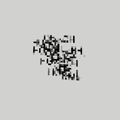 CN[C@@H]1[C@@H](O)[C@@H](O[C@H]2[C@H](NC(=O)C(O)C(F)(F)CN)C[C@H](N)C(O[C@H]3O[C@H](CNCCO)[C@@H](O)[C@H](O)[C@H]3O)[C@@H]2O)OC[C@]1(C)O